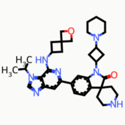 CC(C)n1cnc2cc(-c3ccc4c(c3)N(C3CC(N5CCCCC5)C3)C(=O)C43CCNCC3)nc(NC3CC4(COC4)C3)c21